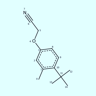 Cc1cc(OCC#N)ccc1C(C)(C)C